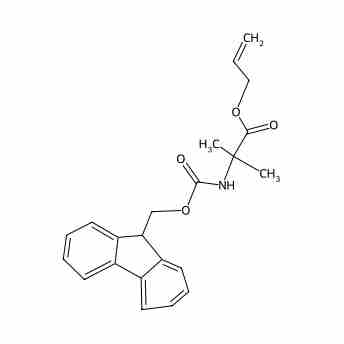 C=CCOC(=O)C(C)(C)NC(=O)OCC1c2ccccc2-c2ccccc21